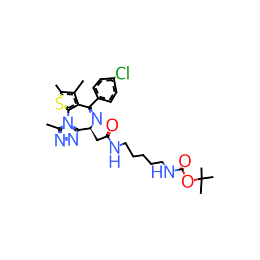 Cc1sc2c(c1C)C(c1ccc(Cl)cc1)=N[C@@H](CC(=O)NCCCCCNC(=O)OC(C)(C)C)c1nnc(C)n1-2